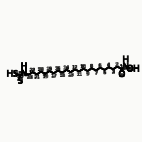 O=C(CCCCCCCCCCCCCCCCCCCCCCNC(=S)S)NO